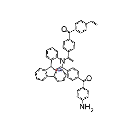 C=Cc1ccc(C(=O)c2ccc(C(=C)N(/C(=C\C)c3ccc(C(=O)c4ccc(N)cc4)cc3)c3ccccc3C3c4ccccc4-c4ccccc43)cc2)cc1